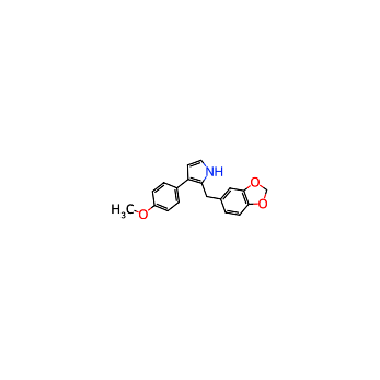 COc1ccc(-c2cc[nH]c2Cc2ccc3c(c2)OCO3)cc1